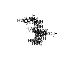 C[C@H](NC(=O)[C@H](C)NC(=O)[C@@H](N)Cc1ccc(O)cc1)C(=O)N[C@@H](CC(N)=O)C(=O)N[C@@H](CCCNC(=N)N)C(=O)N[C@@H](Cc1ccc(O)cc1)C(=O)N[C@H](C(=O)O)[C@@H](C)O